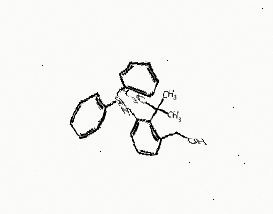 CC(C)(C)c1c(CO)cccc1[SiH](c1ccccc1)c1ccccc1